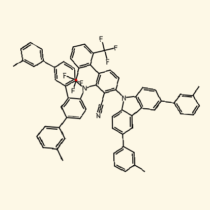 Cc1cccc(-c2ccc3c(c2)c2cc(-c4cccc(C)c4)ccc2n3-c2ccc(-c3c(C(F)(F)F)cccc3C(F)(F)F)c(-n3c4ccc(-c5cccc(C)c5)cc4c4cc(-c5cccc(C)c5)ccc43)c2C#N)c1